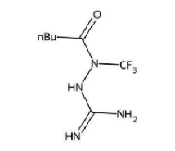 CCCCC(=O)N(NC(=N)N)C(F)(F)F